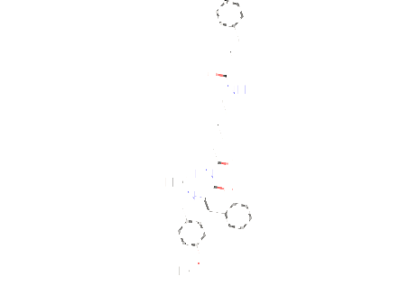 COc1ccc2c(c1)C(c1ccccc1)=C(C(=O)NC(=O)CCCCCNC(=O)OCCc1ccccc1)N(C)C2